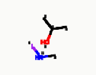 CC(C)O.CNI